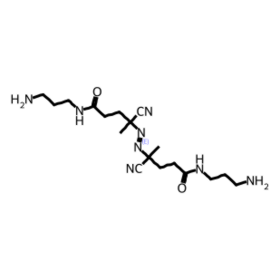 CC(C#N)(CCC(=O)NCCCN)/N=N/C(C)(C#N)CCC(=O)NCCCN